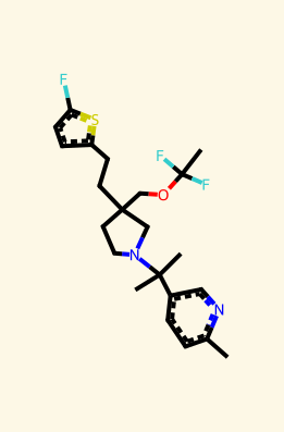 Cc1ccc(C(C)(C)N2CCC(CCc3ccc(F)s3)(COC(C)(F)F)C2)cn1